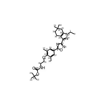 CCn1nc(-c2noc(-c3cc(C)c(OCCNC(=O)OC(C)(C)C)c(C)c3)n2)c2c1CC(C)(C)CC2